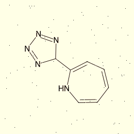 C1=CC=C(C2N=NN=N2)NC=C1